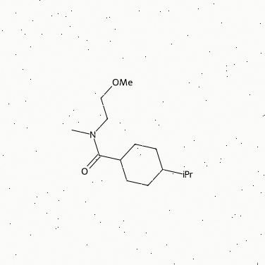 COCCN(C)C(=O)C1CCC(C(C)C)CC1